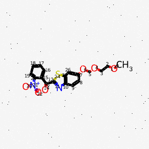 COCCOCOc1ccc2nc(C(=O)c3ccccc3[N+](=O)[O-])sc2c1